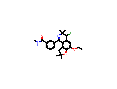 CCOc1cc2c(c3c1OC(C)(C)C3)C(c1cccc(C(=O)NC)c1)=NC(C)(C)C2F